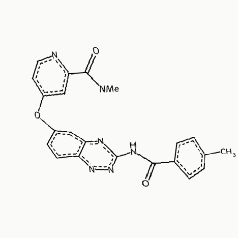 CNC(=O)c1cc(Oc2ccc3nnc(NC(=O)c4ccc(C)cc4)nc3c2)ccn1